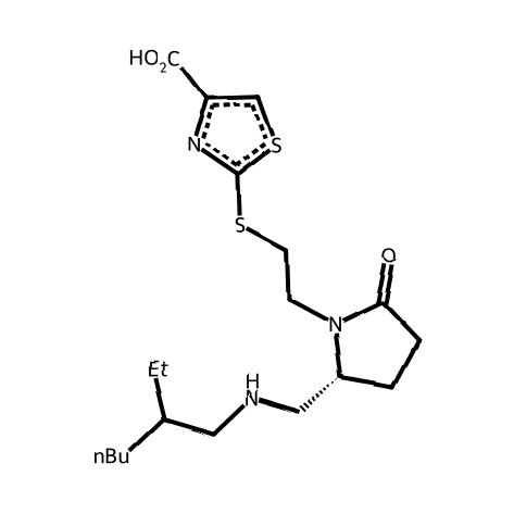 CCCCC(CC)CNC[C@H]1CCC(=O)N1CCSc1nc(C(=O)O)cs1